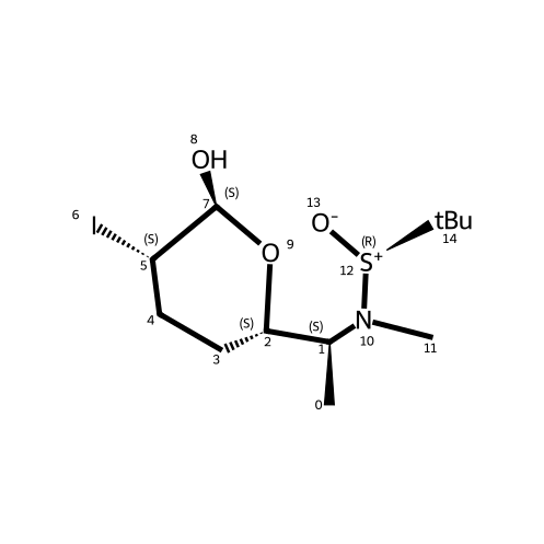 C[C@@H]([C@@H]1CC[C@H](I)[C@@H](O)O1)N(C)[S@@+]([O-])C(C)(C)C